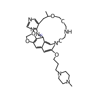 CC1Cc2cncnc2/N=c2\c3c(cc4c2=CN(CCNCCCO1)C(OCCCN1CCN(C)CC1)=C4)OCO3